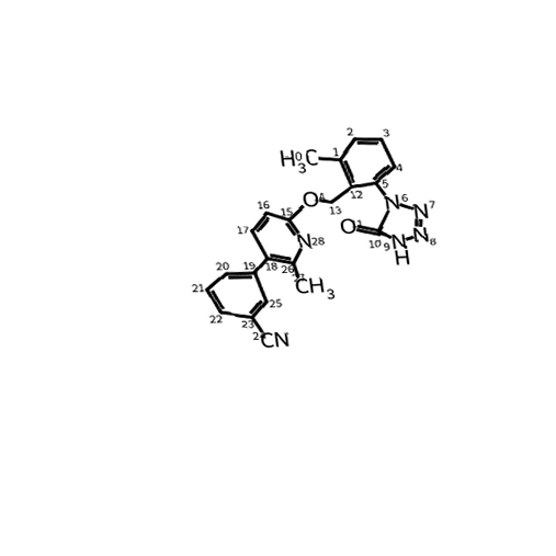 Cc1cccc(-n2nn[nH]c2=O)c1COc1ccc(-c2cccc(C#N)c2)c(C)n1